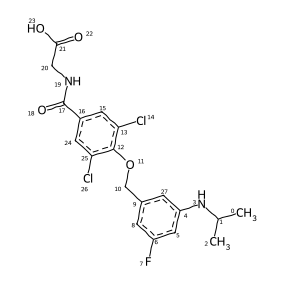 CC(C)Nc1cc(F)cc(COc2c(Cl)cc(C(=O)NCC(=O)O)cc2Cl)c1